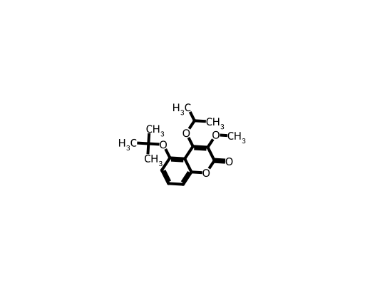 COc1c(OC(C)C)c2c(OC(C)(C)C)cccc2oc1=O